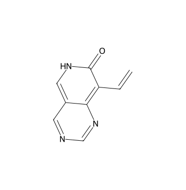 C=Cc1c(=O)[nH]cc2cncnc12